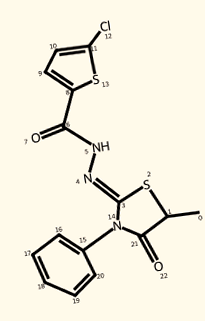 CC1SC(=NNC(=O)c2ccc(Cl)s2)N(c2ccccc2)C1=O